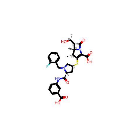 C[C@@H](O)[C@H]1C(=O)N2C(C(=O)O)=C(S[C@H]3C[C@@H](C(=O)Nc4cccc(C(=O)O)c4)N(Cc4ccccc4F)C3)[C@H](C)[C@H]12